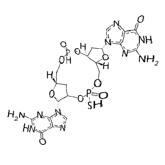 Nc1nc2c(ncn2[C@@H]2O[C@@H]3CO[PH](=O)O[C@H]4C[C@H](n5cnc6c(=O)[nH]c(N)nc65)O[C@@H]4COP(=O)(S)OC2C3)c(=O)[nH]1